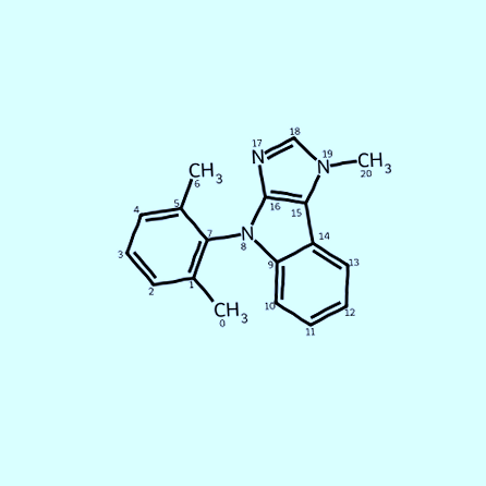 Cc1cccc(C)c1-n1c2ccccc2c2c1ncn2C